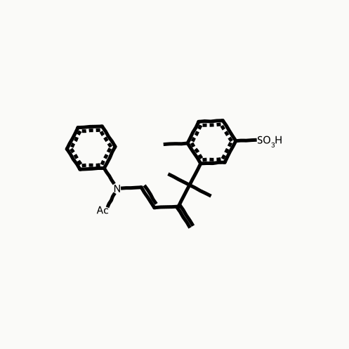 C=C(/C=C/N(C(C)=O)c1ccccc1)C(C)(C)c1cc(S(=O)(=O)O)ccc1C